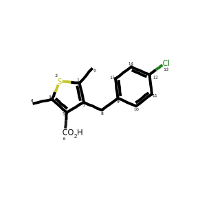 Cc1sc(C)c(C(=O)O)c1Cc1ccc(Cl)cc1